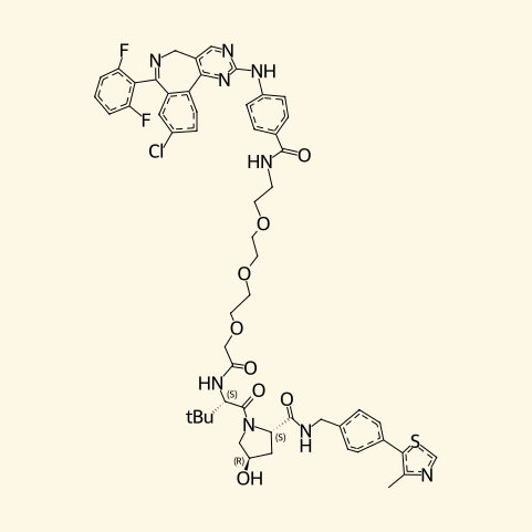 Cc1ncsc1-c1ccc(CNC(=O)[C@@H]2C[C@@H](O)CN2C(=O)[C@@H](NC(=O)COCCOCCOCCNC(=O)c2ccc(Nc3ncc4c(n3)-c3ccc(Cl)cc3C(c3c(F)cccc3F)=NC4)cc2)C(C)(C)C)cc1